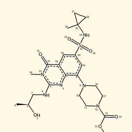 C[C@H](O)CNc1nc2c(N3CCN(C(=O)OC(C)(C)C)CC3)cc(S(=O)(=O)NC3(C)CC3)cc2c(=O)n1C